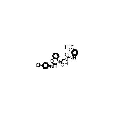 Cc1cccc(NC(=O)NCC(=O)N(CC(=O)Nc2ccc(Cl)cc2)c2ccccc2)c1